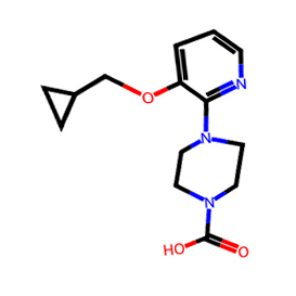 O=C(O)N1CCN(c2ncccc2OCC2CC2)CC1